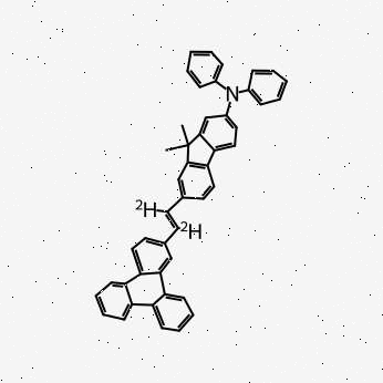 [2H]/C(=C(/[2H])c1ccc2c3ccccc3c3ccccc3c2c1)c1ccc2c(c1)C(C)(C)c1cc(N(c3ccccc3)c3ccccc3)ccc1-2